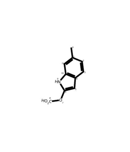 Cc1ccc2cc(OC(=O)O)[nH]c2c1